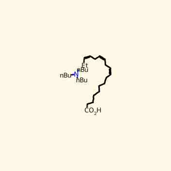 CC/C=C\C/C=C\C/C=C\CCCCCCCC(=O)O.CCCCN(CCCC)CCCC